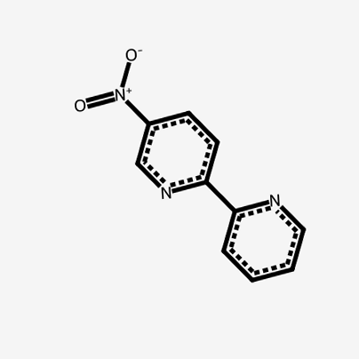 O=[N+]([O-])c1ccc(-c2ccccn2)nc1